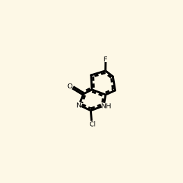 O=c1nc(Cl)[nH]c2ccc(F)cc12